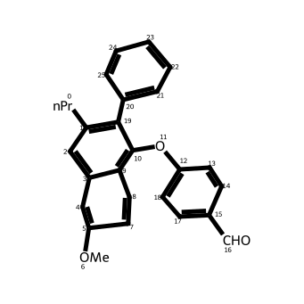 CCCc1cc2cc(OC)ccc2c(Oc2ccc(C=O)cc2)c1-c1ccccc1